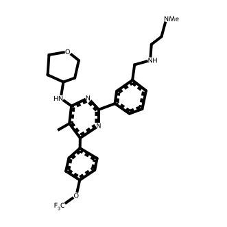 CNCCNCc1cccc(-c2nc(NC3CCOCC3)c(C)c(-c3ccc(OC(F)(F)F)cc3)n2)c1